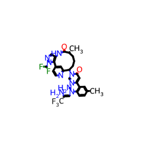 Cc1ccc(N(N)/C=C(\N)C(F)(F)F)c(-c2cc(=O)n(C3CCCC(C)C(=O)Nc4cnn(C(F)F)c4-c4ccnc3c4)cn2)c1